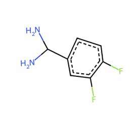 NC(N)c1ccc(F)c(F)c1